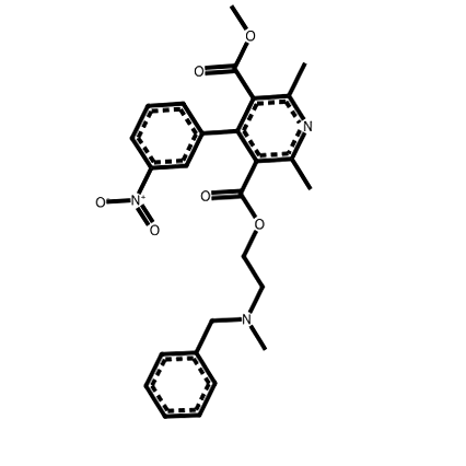 COC(=O)c1c(C)nc(C)c(C(=O)OCCN(C)Cc2ccccc2)c1-c1cccc([N+](=O)[O-])c1